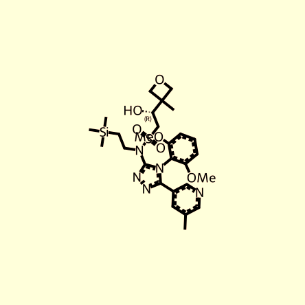 COc1cccc(OC)c1-n1c(-c2cncc(C)c2)nnc1N(CC[Si](C)(C)C)S(=O)(=O)C[C@H](O)C1(C)COC1